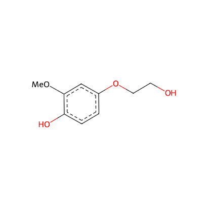 COc1cc(OCCO)ccc1O